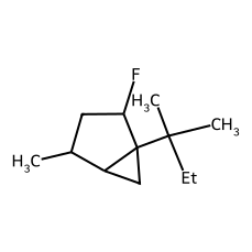 CCC(C)(C)C12CC1C(C)CC2F